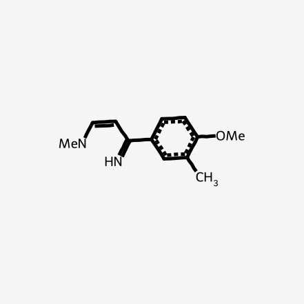 CN/C=C\C(=N)c1ccc(OC)c(C)c1